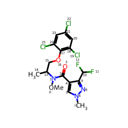 CON(C(=O)c1cn(C)nc1C(F)F)C(C)COc1c(Cl)cc(Cl)cc1Cl